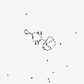 O=C1COC(C23CC4CC(CC(C4)C2)C3)OC1